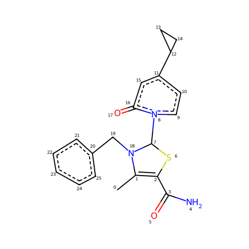 CC1=C(C(N)=O)SC(n2ccc(C3CC3)cc2=O)N1Cc1ccccc1